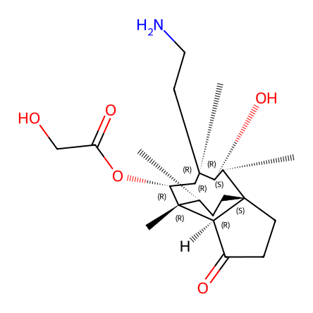 C[C@@H]1CC[C@@]23CCC(=O)[C@H]2[C@]1(C)[C@H](OC(=O)CO)C[C@@](C)(CCN)[C@@H](O)[C@@H]3C